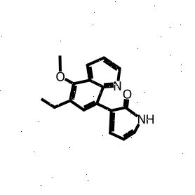 CCc1cc(-c2ccc[nH]c2=O)c2ncccc2c1OC